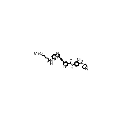 COCCCCC(C)Nc1ccc2ncc(C#Cc3cncc(C(=O)Nc4ccc(CN5CCN(C)CC5)c(C(F)(F)F)c4)c3)n2n1